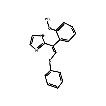 CCCCOc1ccccc1C(=CSc1ccccc1)c1ncc[nH]1